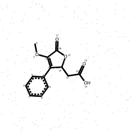 COC1=C(c2ccccc2)C(CC(=O)O)OC1=O